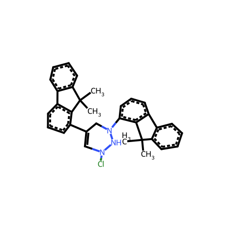 CC1(C)c2ccccc2-c2cccc(C3=CN(Cl)NN(c4cccc5c4C(C)(C)c4ccccc4-5)C3)c21